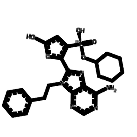 Nc1ncnc2c1nc(-c1oc(O)cc1[P@@](=O)(O)OC1CCCCC1)n2CCc1ccccc1